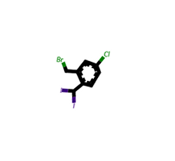 Clc1ccc(C(I)I)c(CBr)c1